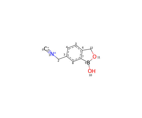 [C-]#[N+]Cc1ccc2c(c1)B(O)OC2